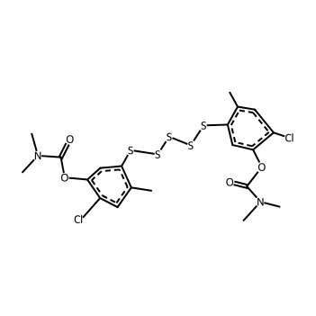 Cc1cc(Cl)c(OC(=O)N(C)C)cc1SSSSSc1cc(OC(=O)N(C)C)c(Cl)cc1C